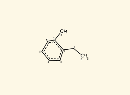 CCc1c[c]ccc1O